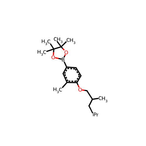 Cc1cc(B2OC(C)(C)C(C)(C)O2)ccc1OCC(C)CC(C)C